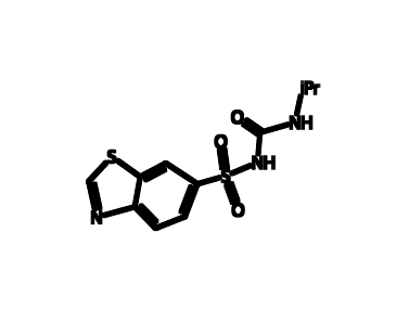 CC(C)NC(=O)NS(=O)(=O)c1ccc2ncsc2c1